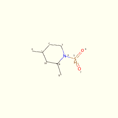 CC1CCN([SH](=O)=O)C(C)C1